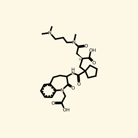 CN(C)CCCN(C)C(=O)C[C@H](CC1(C(=O)NC2CCc3ccccc3N(CC(=O)O)C2=O)CCCC1)C(=O)O